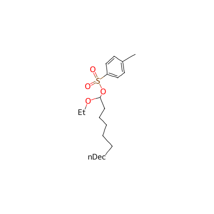 CCCCCCCCCCCCCCCC(OCC)OS(=O)(=O)c1ccc(C)cc1